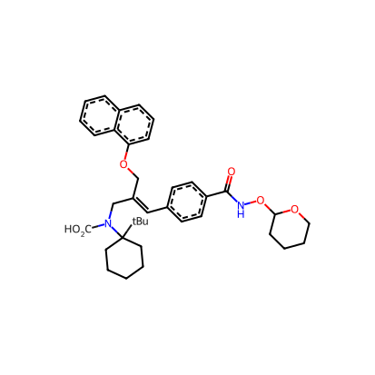 CC(C)(C)C1(N(C/C(=C/c2ccc(C(=O)NOC3CCCCO3)cc2)COc2cccc3ccccc23)C(=O)O)CCCCC1